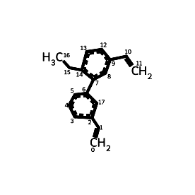 C=Cc1cccc(-c2cc(C=C)ccc2CC)c1